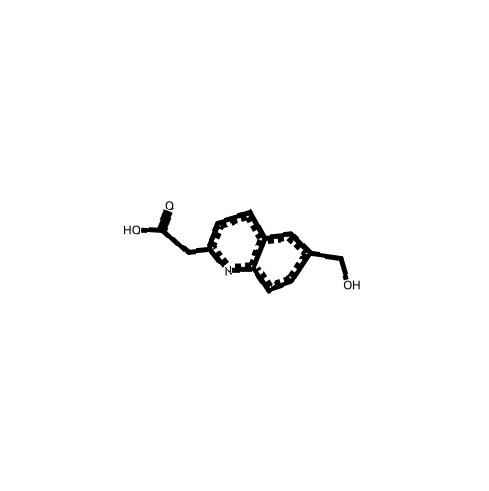 O=C(O)Cc1ccc2cc(CO)ccc2n1